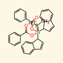 C[Si](C)=[Ti]([O]C(=O)c1ccccc1)([O]C(=O)c1ccccc1)([CH]1C=Cc2ccccc21)[CH]1C=Cc2ccccc21